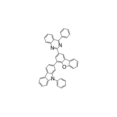 c1ccc(-c2nc(-c3cc(-c4ccc5c6ccccc6n(-c6ccccc6)c5c4)c4oc5ccccc5c4c3)nc3ccccc23)cc1